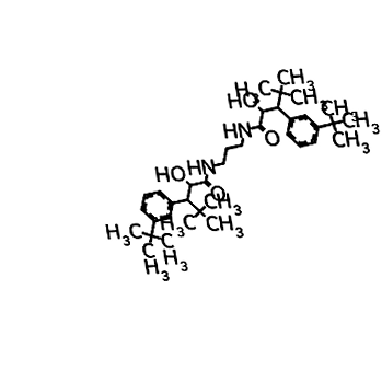 CC(C)(C)c1cccc(C(C(O)C(=O)NCCCNC(=O)C(O)C(c2cccc(C(C)(C)C)c2)C(C)(C)C)C(C)(C)C)c1